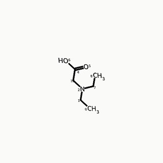 CCN([CH]C(=O)O)CC